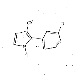 N#Cc1ccn(Cl)c1-c1cccc(Cl)c1